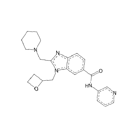 O=C(Nc1cccnc1)c1ccc2nc(CN3CCCCC3)n(CC3CCO3)c2c1